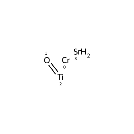 [Cr].[O]=[Ti].[SrH2]